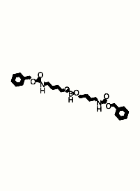 O=C(NC/C=C/COBOC/C=C/CNC(=O)OCc1ccccc1)OCc1ccccc1